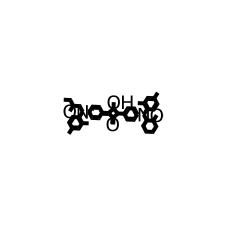 CCC(C[N+](=C1C=CC(=C2C(=O)C(c3ccc(N(c4ccc(C)cc4C)C4CCCCC4OC)cc3)C2O)C=C1)c1ccc(C)cc1C)OC